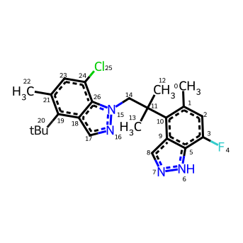 Cc1cc(F)c2[nH]ncc2c1C(C)(C)Cn1ncc2c(C(C)(C)C)c(C)cc(Cl)c21